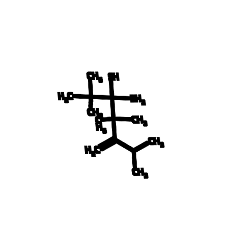 BC(S)(C(C)(C)C)C(C)(C)C(=C)C(C)C